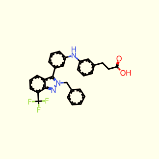 O=C(O)CCc1cccc(Nc2cccc(-c3c4cccc(C(F)(F)F)c4nn3Cc3ccccc3)c2)c1